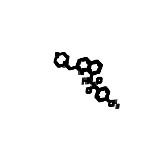 O=S(=O)(Nc1cccc2ccc(CN3CCSCC3)nc12)c1ccc(C(F)(F)F)cc1